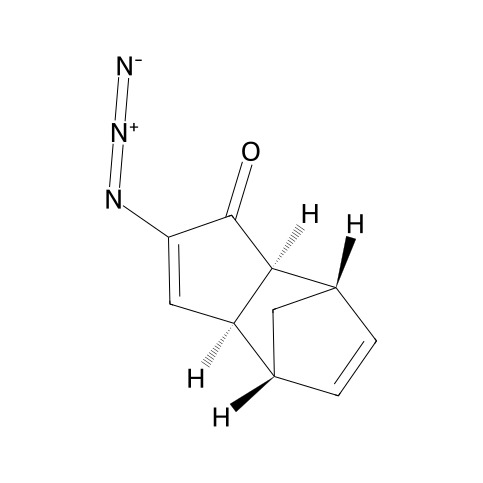 [N-]=[N+]=NC1=C[C@H]2[C@@H](C1=O)[C@@H]1C=C[C@H]2C1